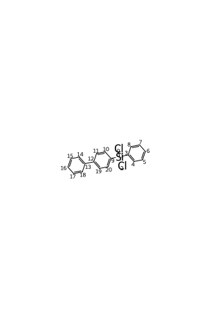 Cl[Si](Cl)(c1ccccc1)c1ccc(-c2ccccc2)cc1